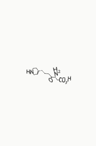 NC(CC(=O)O)C(=O)CCCC1=CCNCC1